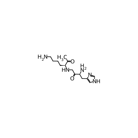 CC(=O)[C@H](CCCCN)NCC(=O)[C@@H](N)Cc1c[nH]cn1